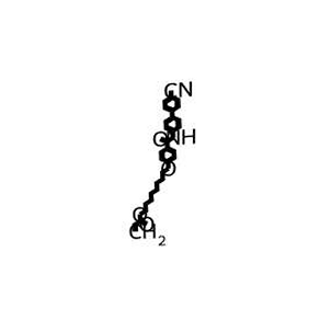 C=CC(=O)OCCCCCCCCOc1ccc(C(=O)Nc2ccc(-c3ccc(C#N)cc3)cc2)cc1